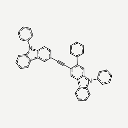 C(#Cc1cc2c3ccccc3n(-c3ccccc3)c2cc1-c1ccccc1)c1ccc2c(c1)c1ccccc1n2-c1ccccc1